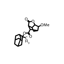 COC1C2CC3C1OC(=O)C3C2C(=O)OC1(C)C2CC3CC(C2)CC1C3